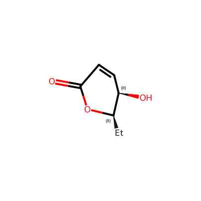 CC[C@H]1OC(=O)C=C[C@H]1O